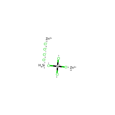 Cl[Si](Cl)(Cl)Cl.[Cl-].[Cl-].[Cl-].[Cl-].[SiH4].[Zn+2].[Zn+2]